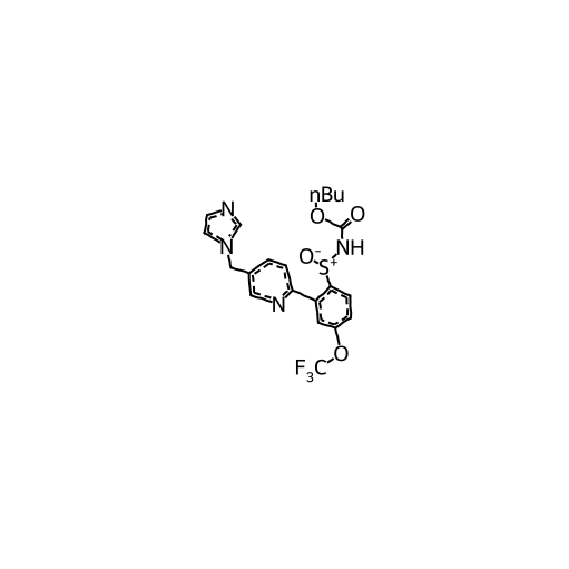 CCCCOC(=O)N[S+]([O-])c1ccc(OC(F)(F)F)cc1-c1ccc(Cn2ccnc2)cn1